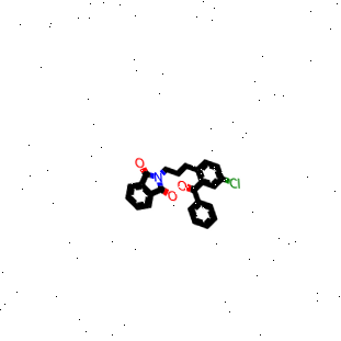 O=C(c1ccccc1)c1cc(Cl)ccc1CCCN1C(=O)c2ccccc2C1=O